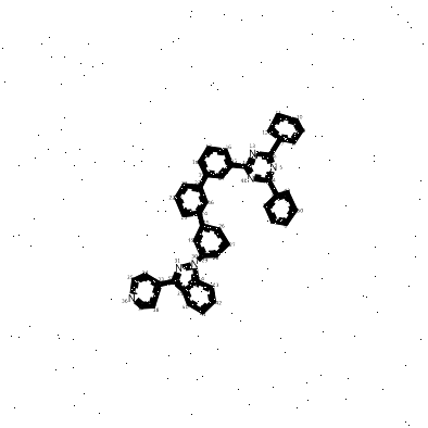 c1ccc(-c2nc(-c3ccccc3)nc(-c3cccc(-c4cccc(-c5cccc(-n6nc(-c7ccncc7)c7ccccc76)c5)c4)c3)n2)cc1